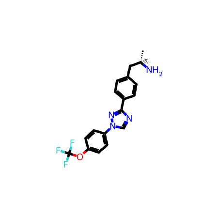 C[C@H](N)Cc1ccc(-c2ncn(-c3ccc(OC(F)(F)F)cc3)n2)cc1